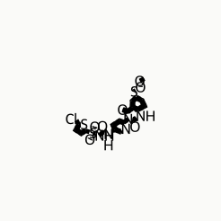 COOSc1ccc2[nH]c(=O)n(-c3ccc(NC(=O)NS(=O)(=O)c4ccc(Cl)s4)cn3)c(=O)c2c1